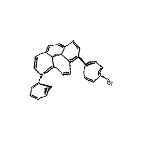 Brc1ccc(-c2ccc3ccc4ccc(-c5ccccc5)c5ccc2c3c45)cc1